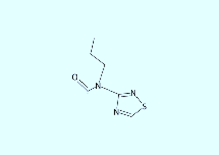 CCCN([C]=O)c1ncsn1